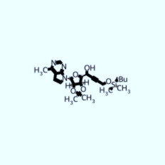 Cc1ncnc2c1ccn2[C@@H]1O[C@@H](C(O)C#CCO[Si](C)(C)C(C)(C)C)[C@H]2OC(C)(C)O[C@H]21